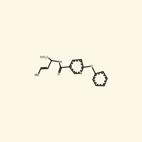 CCOC(=O)C(/C=C/C(C)(C)C)NC(=O)c1ccc(Oc2ccccc2)nc1